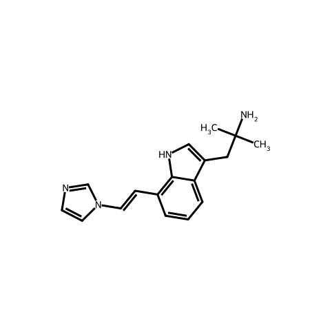 CC(C)(N)Cc1c[nH]c2c(/C=C/n3ccnc3)cccc12